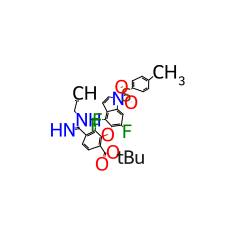 C#CCNC(=N)c1ccc(C(=O)OC(C)(C)C)c(Oc2c(F)cc3c(ccn3S(=O)(=O)c3ccc(C)cc3)c2F)c1F